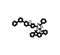 CC1(C)c2ccccc2-c2ccc3c4ccccc4n(-c4nc(-c5ccccc5)nc(-c5ccc6c(c5)oc5cc(-c7cccc(-c8ccccc8)c7)ccc56)n4)c3c21